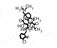 CCN(C)CC12CCC(N(C)C(=O)C(=O)N(C)C)(CC1)c1nc(C(=O)NCc3cccc(Cl)c3F)c(O)c(=O)n1C2